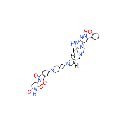 O=C1CCC(N2C(=O)c3ccc(N4CCC5(CC4)CC(N4C[C@@H]6[C@@H](CN7CCN8c9cc(-c%10ccccc%10O)nnc9NC[C@H]8C7)[C@@H]6C4)C5)cc3C2=O)C(=O)N1